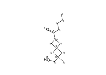 CCCCC(=O)N1CC2(C1)CC(C)(CO)C2